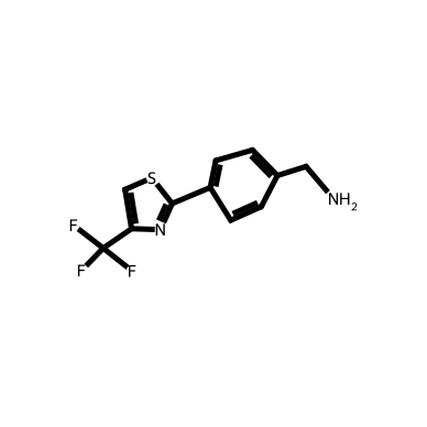 NCc1ccc(-c2nc(C(F)(F)F)cs2)cc1